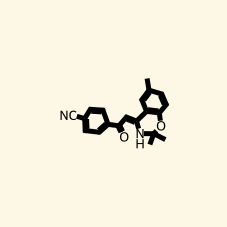 Cc1ccc2c(c1)/C(=C/C(=O)c1ccc(C#N)cc1)NC(C)(C)O2